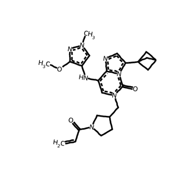 C=CC(=O)N1CCC(Cn2cc(Nc3cn(C)nc3OC)c3ncc(C45CC(C4)C5)n3c2=O)C1